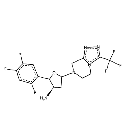 N[C@@H]1CC(N2CCn3c(nnc3C(F)(F)F)C2)OC1c1cc(F)c(F)cc1F